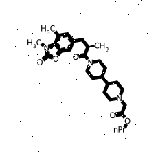 CCCOC(=O)CN1CCC(C2CCN(C(=O)[C@H](C)Cc3cc(C)c4c(c3)oc(=O)n4C)CC2)CC1